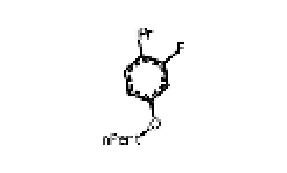 CCCCCOc1ccc(C(C)C)c(F)c1